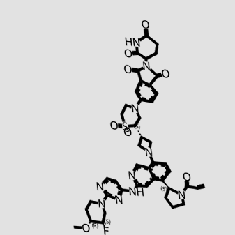 C=CC(=O)N1CCC[C@H]1c1ccc(N2CC([C@H]3CN(c4ccc5c(c4)C(=O)N(C4CCC(=O)NC4=O)C5=O)CCS3(=O)=O)C2)c2cnc(Nc3ccnc(N4CC[C@@H](OC)[C@@H](F)C4)n3)cc12